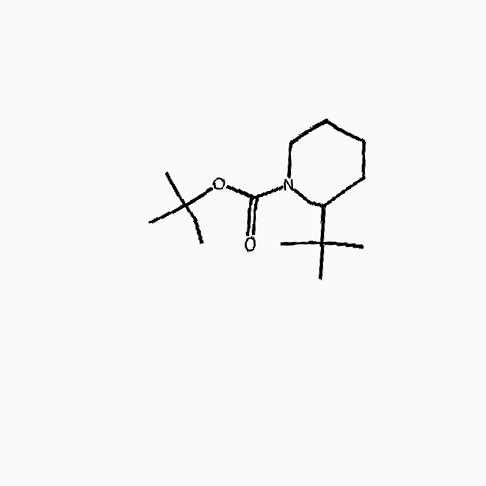 CC(C)(C)OC(=O)N1CCCCC1C(C)(C)C